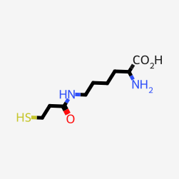 NC(CCCCNC(=O)CCS)C(=O)O